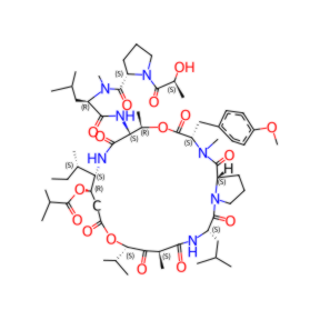 CC[C@H](C)[C@@H]1NC(=O)[C@@H](NC(=O)[C@@H](CC(C)C)N(C)C(=O)[C@@H]2CCCN2C(=O)[C@H](C)O)[C@@H](C)OC(=O)[C@H](Cc2ccc(OC)cc2)N(C)C(=O)[C@@H]2CCCN2C(=O)[C@H](CC(C)C)NC(=O)[C@@H](C)C(=O)[C@H](C(C)C)OC(=O)C[C@H]1OC(=O)C(C)C